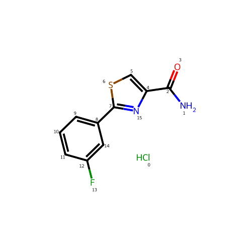 Cl.NC(=O)c1csc(-c2cccc(F)c2)n1